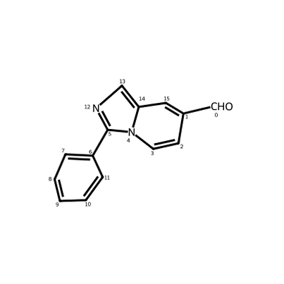 O=Cc1ccn2c(-c3ccccc3)ncc2c1